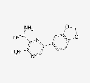 NC(=O)c1nc(-c2ccc3c(c2)OCO3)cnc1N